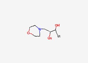 CCC(O)C(O)CN1CCOCC1